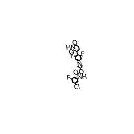 O=C1CCC(c2c(F)cc(N3CC(OC(=O)Nc4cc(F)cc(Cl)c4)C3)cc2F)C(=O)N1